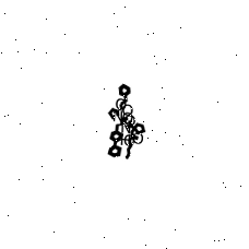 CCCCOC(=O)CC1(C(=O)N[C@@H](Cc2ccc(-c3ccccc3)cc2)C(=O)N2CCC[C@H]2C(=O)OCc2ccccc2)CCCC1